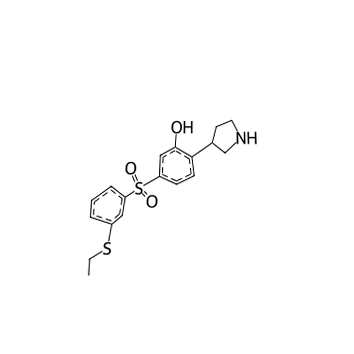 CCSc1cccc(S(=O)(=O)c2ccc(C3CCNC3)c(O)c2)c1